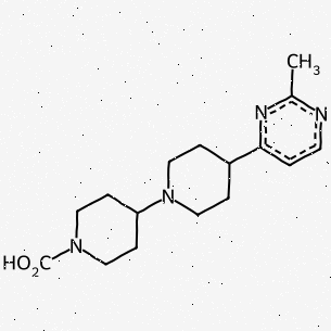 Cc1nccc(C2CCN(C3CCN(C(=O)O)CC3)CC2)n1